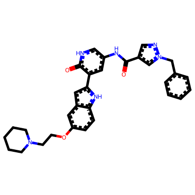 O=C(Nc1c[nH]c(=O)c(-c2cc3cc(OCCN4CCCCC4)ccc3[nH]2)c1)c1cnn(Cc2ccccc2)c1